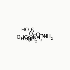 NN=Cc1ccc(C(CCC(=O)O)C(N)(C(=O)O)C(=O)C(N)CC=O)cc1